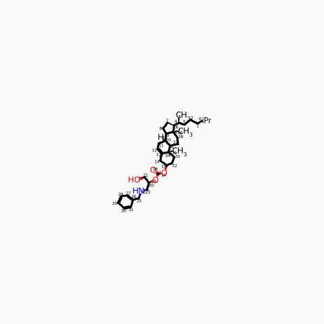 CC(C)CCC[C@H](C)[C@@H]1CCC2[C@H]3CC=C4CC(OC(=O)OC(CO)CNCc5ccccc5)CC[C@@]4(C)C3CC[C@]21C